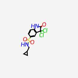 O=C1Nc2ccc(S(=O)(=O)NCC3CC3)cc2C1(Cl)Cl